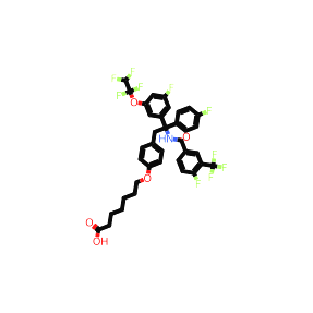 O=C(O)CCCCCCOc1ccc(CC(NC(=O)c2ccc(F)c(C(F)(F)F)c2)(c2ccc(F)cc2)c2cc(F)cc(OC(F)(F)C(F)F)c2)cc1